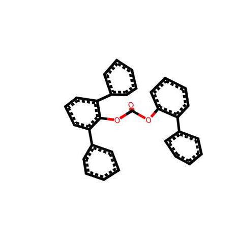 O=C(Oc1ccccc1-c1ccccc1)Oc1c(-c2ccccc2)cccc1-c1ccccc1